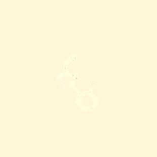 O=Cc1csc(-c2ccccc2F)n1